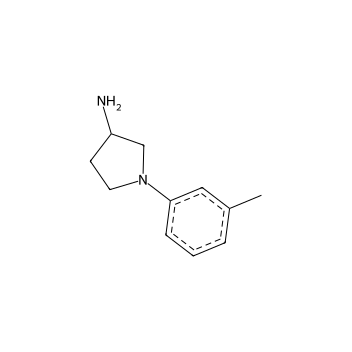 Cc1cccc(N2CCC(N)C2)c1